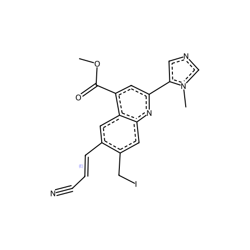 COC(=O)c1cc(-c2cncn2C)nc2cc(CI)c(/C=C/C#N)cc12